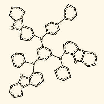 c1ccc(-c2ccc(N(c3cc(N(c4ccccc4)c4cccc5c4oc4ccccc45)cc(N(c4ccccc4)c4cccc5c4oc4ccccc45)c3)c3ccc4oc5ccccc5c4c3)cc2)cc1